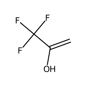 C=C(O)C(F)(F)F